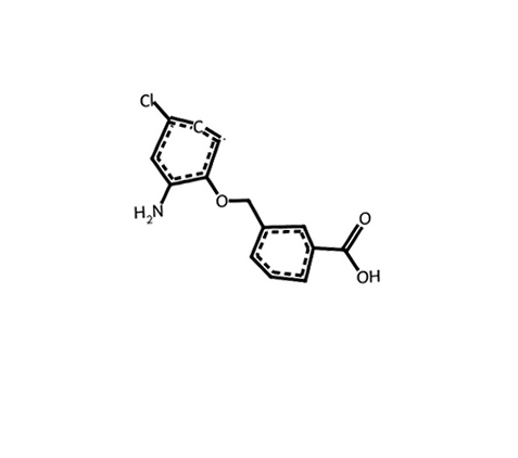 Nc1cc(Cl)c[c]c1OCc1cccc(C(=O)O)c1